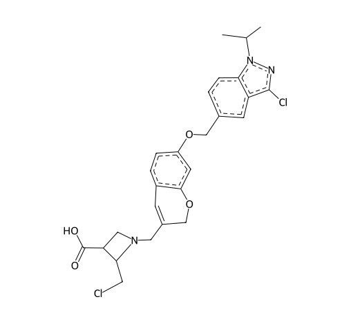 CC(C)n1nc(Cl)c2cc(COc3ccc4c(c3)OCC(CN3CC(C(=O)O)C3CCl)=C4)ccc21